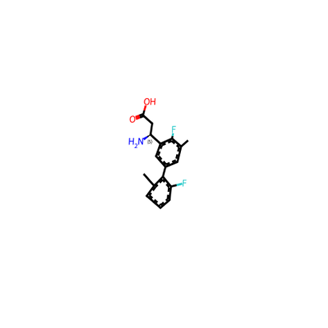 Cc1cc(-c2c(C)cccc2F)cc([C@@H](N)CC(=O)O)c1F